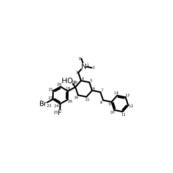 CN(C)CC1CC(CCc2ccccc2)CCC1(O)c1ccc(Br)c(F)c1